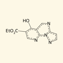 CCOC(=O)c1cnc2c(cnc3ccnn32)c1O